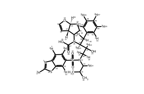 [2H]c1nc2c([2H])c([2H])c(S(=O)(=O)N(C([2H])C(C)C)C([2H])([2H])[C@@]([2H])(O)[C@@]([2H])(N(C(=O)O)C3CO[C@@H]4OC=C[C@@H]34)C([2H])([2H])c3c([2H])c([2H])c([2H])c([2H])c3[2H])c([2H])c2s1